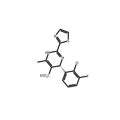 CCOC(=O)C1=C(C)NC(c2nccs2)=N[C@@H]1c1cccc(F)c1Cl